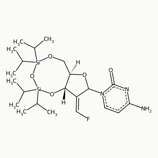 CC(C)[Si]1(C(C)C)OC[C@H]2OC(n3ccc(N)nc3=O)/C(=C\F)[C@@H]2O[Si](C(C)C)(C(C)C)O1